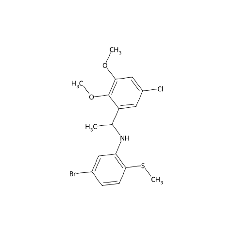 COc1cc(Cl)cc(C(C)Nc2cc(Br)ccc2SC)c1OC